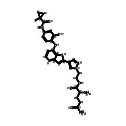 CC1(C(=O)Nc2ccc(Oc3ccnc4cc(-c5cnn(CCOC(=O)C(N)CCC(N)=O)c5)sc34)c(F)c2)CC1